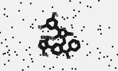 CCOC(=O)c1onc(C)c1-c1cnc(N(CC)C2CCCCC2)c(Cn2c(C)c(-c3cc(C(F)(F)F)cc(C(F)(F)F)c3)oc2=O)c1